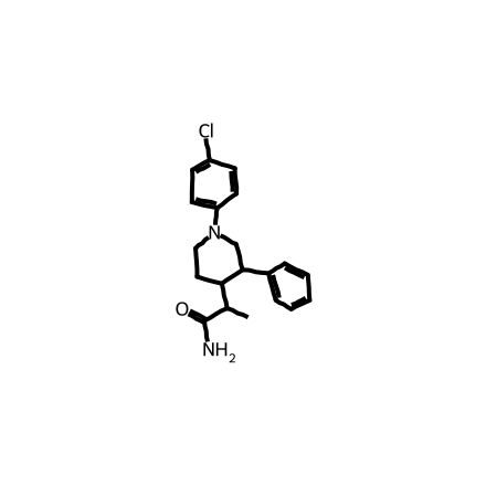 CC(C(N)=O)C1CCN(c2ccc(Cl)cc2)CC1c1ccccc1